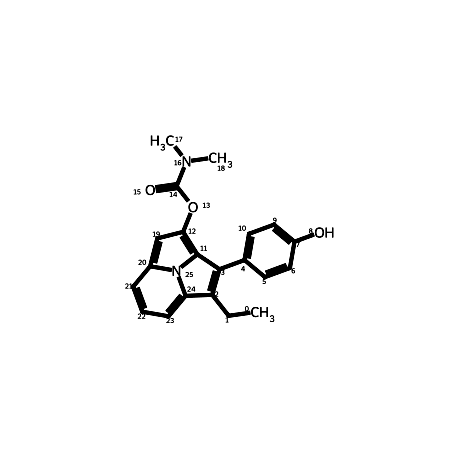 CCc1c(-c2ccc(O)cc2)c2c(OC(=O)N(C)C)cc3cccc1n32